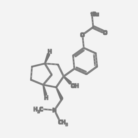 CN(C)C[C@H]1[C@@H]2CC[C@@H](C2)C[C@]1(O)c1cccc(OC(=O)C(C)(C)C)c1